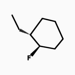 CC[C@@H]1CCCC[C@H]1F